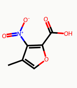 Cc1coc(C(=O)O)c1[N+](=O)[O-]